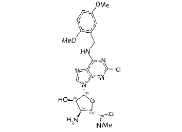 CNC(=O)[C@H]1O[C@@H](n2cnc3c(NCc4cc(OC)ccc4OC)nc(Cl)nc32)[C@H](O)[C@@H]1N